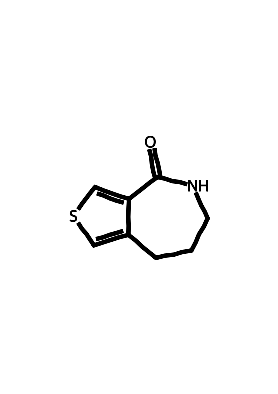 O=C1NCCCc2cscc21